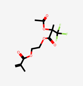 C=C(C)C(=O)OCCOC(=O)C(C)(OC(C)=O)C(F)(F)F